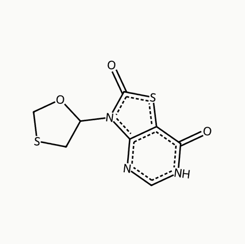 O=c1[nH]cnc2c1sc(=O)n2C1CSCO1